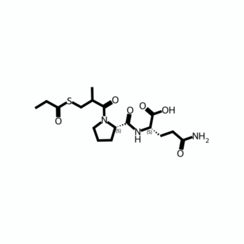 CCC(=O)SCC(C)C(=O)N1CCC[C@H]1C(=O)N[C@@H](CCC(N)=O)C(=O)O